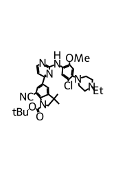 CCN1CCN(c2cc(OC)c(Nc3nccc(-c4cc(C#N)c5c(c4)C(C)(C)CN5C(=O)OC(C)(C)C)n3)cc2Cl)CC1